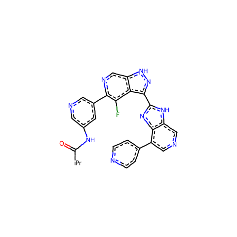 CC(C)C(=O)Nc1cncc(-c2ncc3[nH]nc(-c4nc5c(-c6ccncc6)cncc5[nH]4)c3c2F)c1